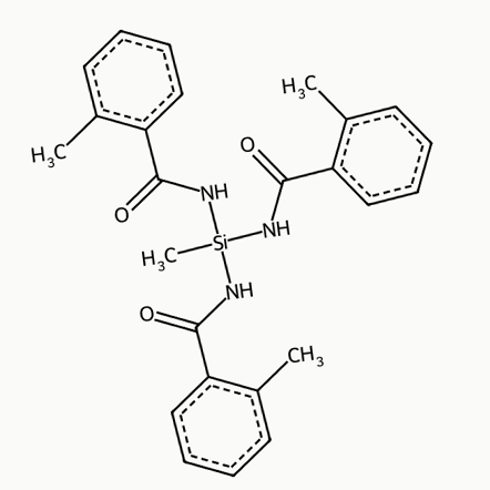 Cc1ccccc1C(=O)N[Si](C)(NC(=O)c1ccccc1C)NC(=O)c1ccccc1C